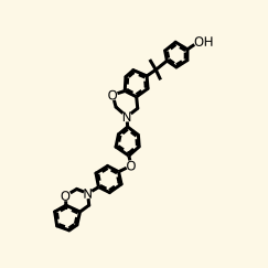 CC(C)(c1ccc(O)cc1)c1ccc2c(c1)CN(c1ccc(Oc3ccc(N4COc5ccccc5C4)cc3)cc1)CO2